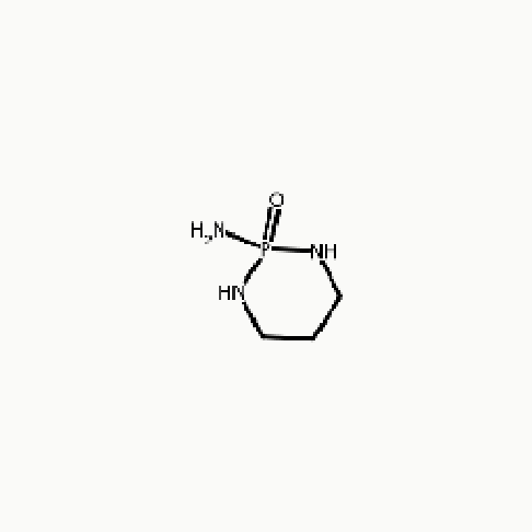 NP1(=O)NCCCN1